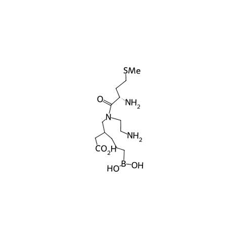 CSCC[C@H](N)C(=O)N(CCN)CC(CCCB(O)O)CC(=O)O